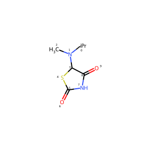 CC(C)N(C)C1SC(=O)NC1=O